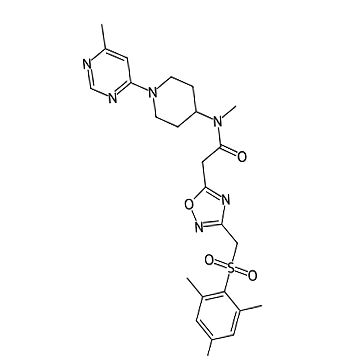 COc1cc(C)c(S(=O)(=O)Cc2noc(CC(=O)N(C)C3CCN(c4cc(C)ncn4)CC3)n2)c(C)c1